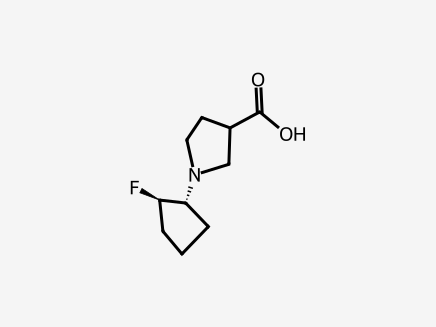 O=C(O)C1CCN([C@@H]2CCC[C@H]2F)C1